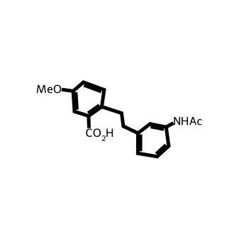 COc1ccc(CCc2cccc(NC(C)=O)c2)c(C(=O)O)c1